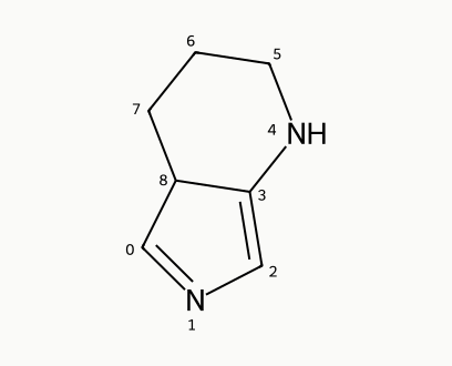 C1=NC=C2NCCCC12